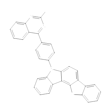 Clc1nc(-c2ccc(-n3c4ccccc4c4c5oc6ccccc6c5ccc43)cc2)c2ccccc2n1